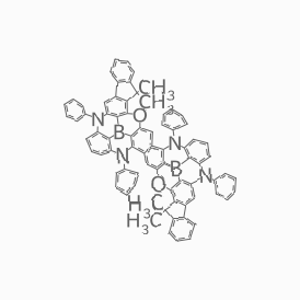 CC1(C)c2ccccc2-c2cc3c4c(c21)Oc1cc2c5c6c(cc2c2c1B4c1c(cccc1N2c1ccccc1)N3c1ccccc1)Oc1c2c(cc3c1C(C)(C)c1ccccc1-3)N(c1ccccc1)c1cccc(c1B26)N5c1ccccc1